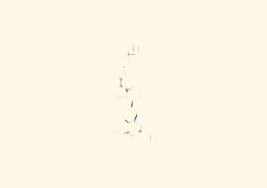 C=C1/C(=C\C=C2CCC[C@@]3(C)C2CC[C@@H]3[C@@H](C)CCCC(C)(C)O)C[C@@H](O)[C@H](C)[C@H]1O